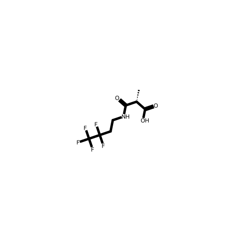 C[C@H](C(=O)O)C(=O)NCCC(F)(F)C(F)(F)F